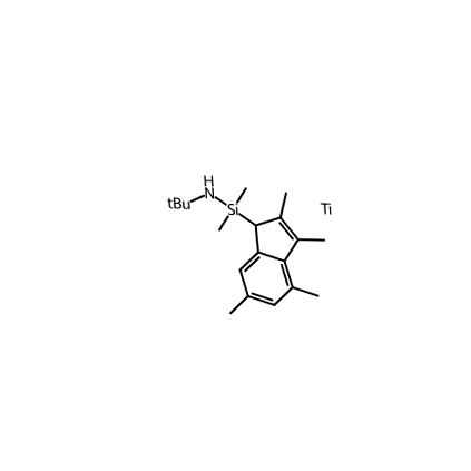 CC1=C(C)C([Si](C)(C)NC(C)(C)C)c2cc(C)cc(C)c21.[Ti]